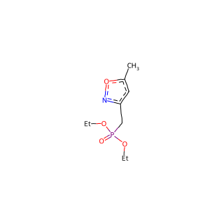 CCOP(=O)(Cc1cc(C)on1)OCC